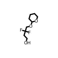 OCCC(F)(F)COC1CCCCO1